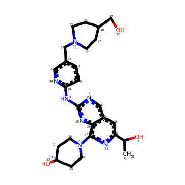 CC(O)c1cc2cnc(Nc3ccc(CN4CCC(CO)CC4)cn3)nc2c(N2CCC(O)CC2)n1